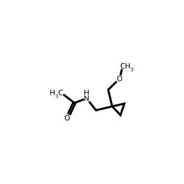 COCC1(CNC(C)=O)CC1